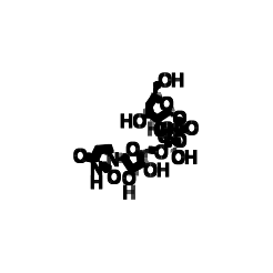 O=c1ccn([C@@H]2O[C@H](COP(=O)(O)OP(=O)(O)O[C@H]3O[C@H](CO)C[C@H](O)[C@H]3O)[C@@H](O)[C@H]2O)c(=O)[nH]1